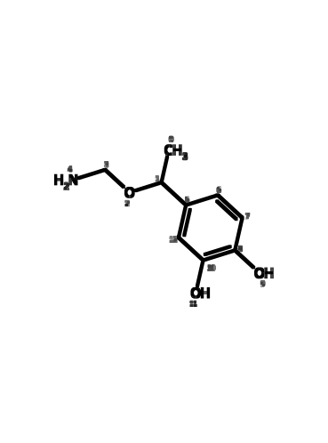 CC(OCN)c1ccc(O)c(O)c1